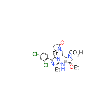 CCO[C@H]1CN(C(=O)O)C(CCN2CCCC2=O)[C@H]1Nc1nc(CC)c(-c2ccc(Cl)cc2Cl)nc1CC